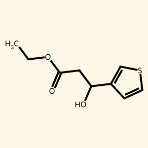 CCOC(=O)CC(O)c1ccsc1